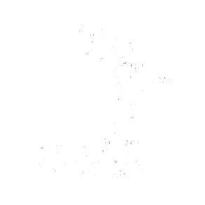 COc1cc(CSc2nc(-c3ccc(-c4cccs4)s3)c(C#N)c(=O)[nH]2)ccc1NS(=O)(=O)c1ccc(F)cc1